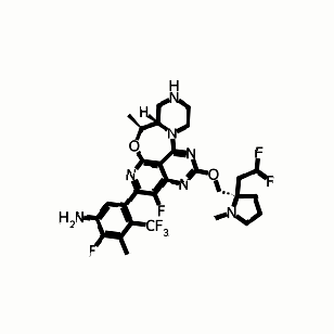 Cc1c(F)c(N)cc(-c2nc3c4c(nc(OC[C@]5(CC(F)F)CCCN5C)nc4c2F)N2CCNC[C@H]2[C@H](C)O3)c1C(F)(F)F